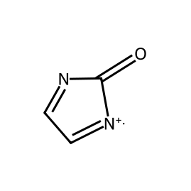 O=C1N=CC=[N+]1